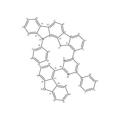 c1ccc(-c2cc(-c3cccc4c3sc3c4ccc4c5ccccc5n(-c5ccccc5)c43)nc(-c3cccc4oc5ccccc5c34)n2)cc1